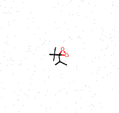 C[C](C)C1(C(C)(C)C)OO1